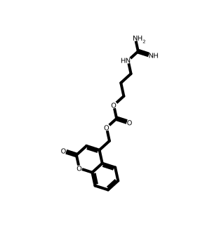 N=C(N)NCCCOC(=O)OCc1cc(=O)oc2ccccc12